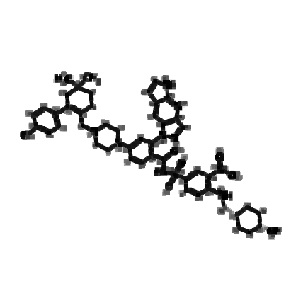 CC1(C)CCC(CN2CCN(c3ccc(C(=O)NS(=O)(=O)c4ccc(NC[C@H]5CC[C@@H](O)CC5)c([N+](=O)[O-])c4)c(-n4ncc5nc6[nH]ccc6cc54)c3)CC2)=C(c2ccc(Cl)cc2)C1